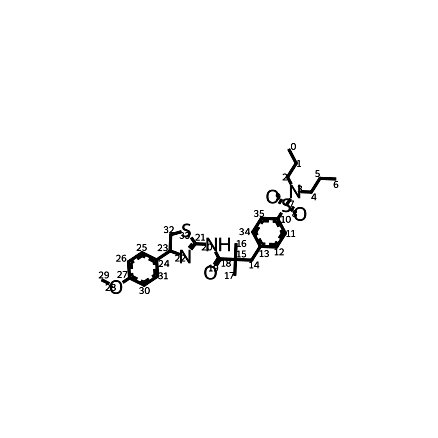 CCCN(CCC)S(=O)(=O)c1ccc(CC(C)(C)C(=O)NC2=NC(c3ccc(OC)cc3)CS2)cc1